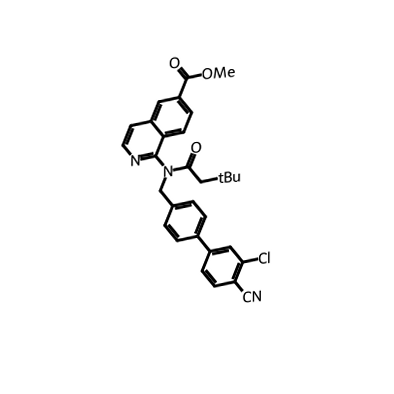 COC(=O)c1ccc2c(N(Cc3ccc(-c4ccc(C#N)c(Cl)c4)cc3)C(=O)CC(C)(C)C)nccc2c1